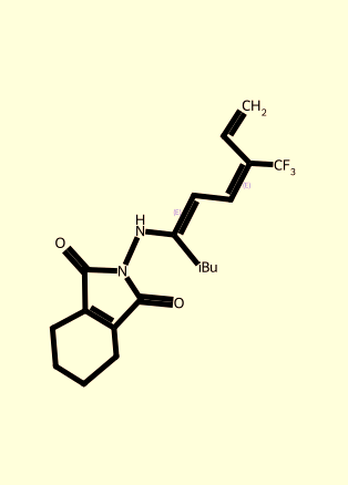 C=C/C(=C\C=C(\NN1C(=O)C2=C(CCCC2)C1=O)C(C)CC)C(F)(F)F